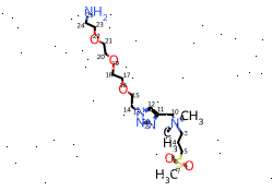 C[N+](C)(CCCS(C)(=O)=O)Cc1cn(CCOCCOCCOCCN)nn1